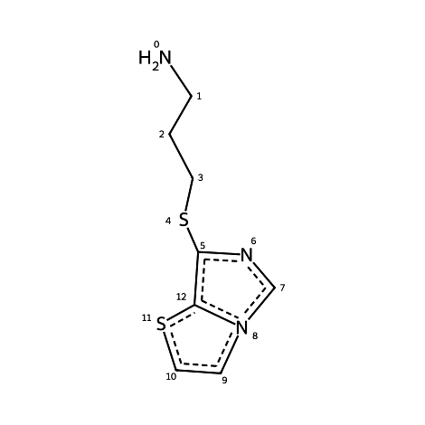 NCCCSc1ncn2ccsc12